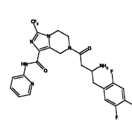 NC(CC(=O)N1CCn2c(C(F)(F)F)nc(C(=O)Nc3ccccn3)c2C1)Cc1cc(F)c(F)cc1F